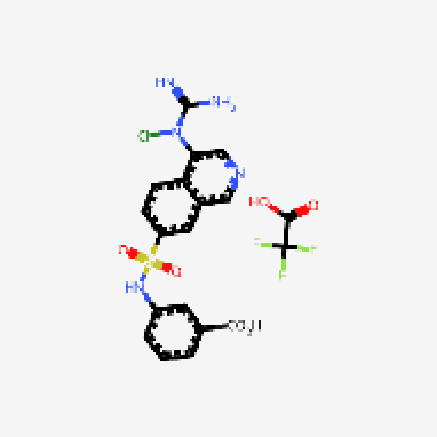 N=C(N)N(Cl)c1cncc2cc(S(=O)(=O)Nc3cccc(C(=O)O)c3)ccc12.O=C(O)C(F)(F)F